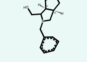 OCC1[C@H]2CCC[C@H]2CN1Cc1ccccc1